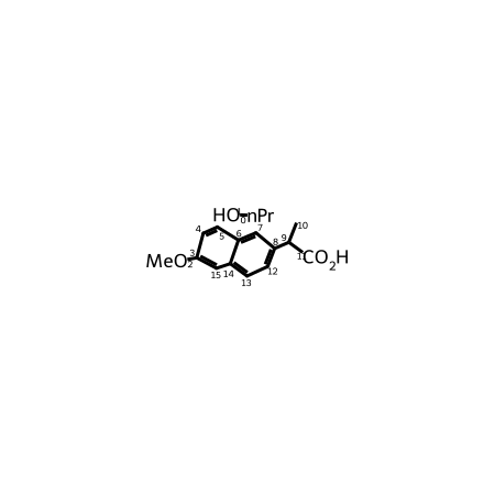 CCCO.COc1ccc2cc(C(C)C(=O)O)ccc2c1